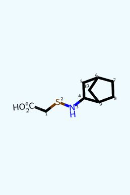 O=C(O)CSNC1CC2CCC1C2